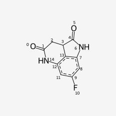 O=C1CC2C(=O)Nc3cc(F)cc(c32)N1